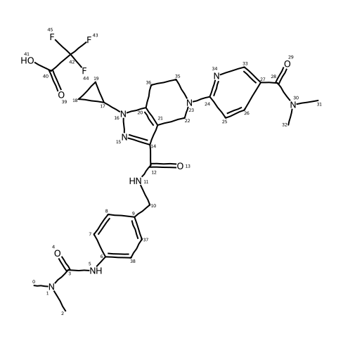 CN(C)C(=O)Nc1ccc(CNC(=O)c2nn(C3CC3)c3c2CN(c2ccc(C(=O)N(C)C)cn2)CC3)cc1.O=C(O)C(F)(F)F